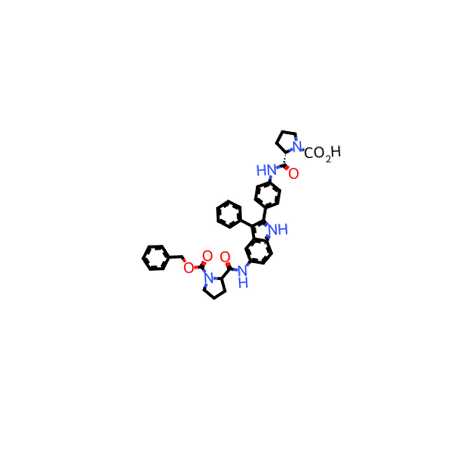 O=C(Nc1ccc2[nH]c(-c3ccc(NC(=O)[C@@H]4CCCN4C(=O)O)cc3)c(-c3ccccc3)c2c1)C1CCCN1C(=O)OCc1ccccc1